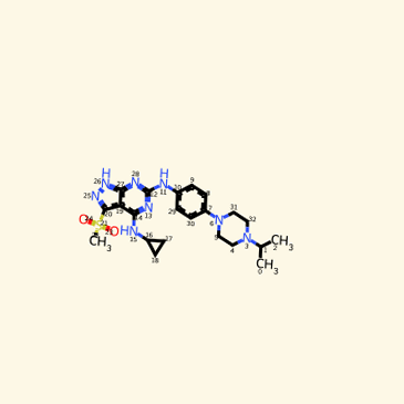 CC(C)N1CCN(c2ccc(Nc3nc(NC4CC4)c4c(S(C)(=O)=O)n[nH]c4n3)cc2)CC1